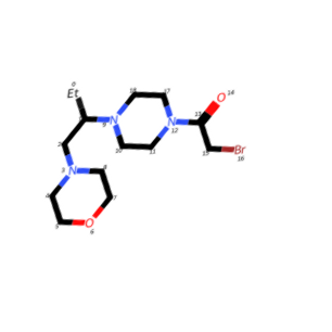 CCC(CN1CCOCC1)N1CCN(C(=O)CBr)CC1